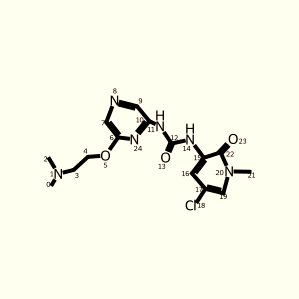 CN(C)CCOc1cncc(NC(=O)Nc2cc(Cl)cn(C)c2=O)n1